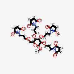 CCO[C@H]1OC(COCCCN2C(=O)C=CC2=O)[C@H](OCCCN2C(=O)C=CC2=O)C(OCCCN2C(=O)C=CC2=O)C1OCCCN1C(=O)C=CC1=O